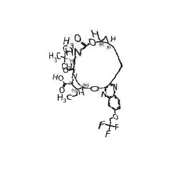 CC[C@@H]1[C@@H]2CN(C(=O)[C@H](C(C)(C)C)NC(=O)O[C@@H]3C[C@H]3CCCCCc3nc4ccc(OCC(F)(F)F)cc4nc3O2)[C@@H]1C(=O)O